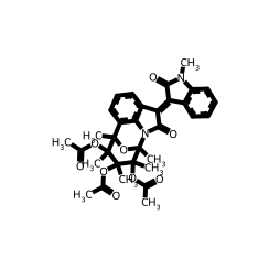 CC(=O)OC1(C)C2(C)OC(C)(N3C(=O)/C(=C4/C(=O)N(C)c5ccccc54)c4cccc2c43)C(C)(OC(C)=O)C1(C)OC(C)=O